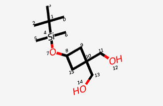 CC(C)(C)[Si](C)(C)OC1CC(CO)(CO)C1